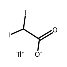 O=C([O-])C(I)I.[Tl+]